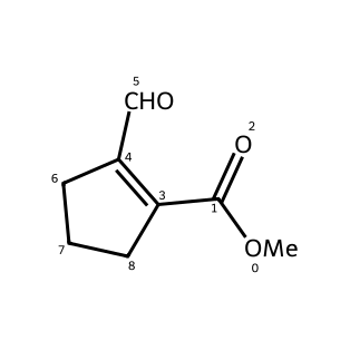 COC(=O)C1=C(C=O)CCC1